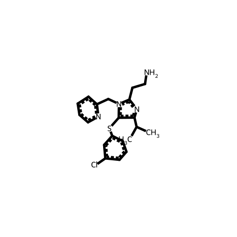 CC(C)c1nc(CCN)n(Cc2ccccn2)c1Sc1cccc(Cl)c1